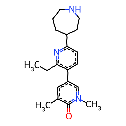 CCc1nc(C2CCCNCC2)ccc1-c1cc(C)c(=O)n(C)c1